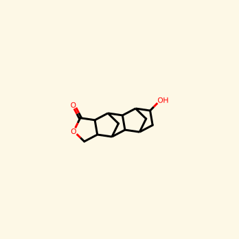 O=C1OCC2C3CC(C12)C1C2CC(CC2O)C31